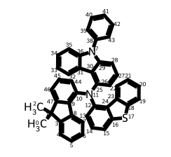 CC1(C)c2ccccc2-c2c(N(c3cccc4sc5ccccc5c34)c3cccc4c3c3ccccc3n4-c3ccccc3)cccc21